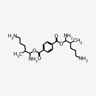 CC(CCCN)C(N)OC(=O)c1ccc(C(=O)OC(N)C(C)CCCN)cc1